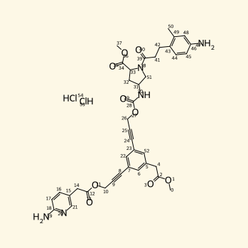 COC(=O)Cc1cc(C#CCOC(=O)Cc2ccc(N)nc2)cc(C#CCOC(=O)NC2CC(C(=O)OC)N(C(=O)CCc3ccc(N)cc3C)C2)c1.Cl.Cl